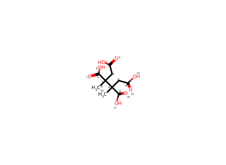 CC(CC(=O)O)(C(=O)O)C(C)(CC(=O)O)C(=O)O